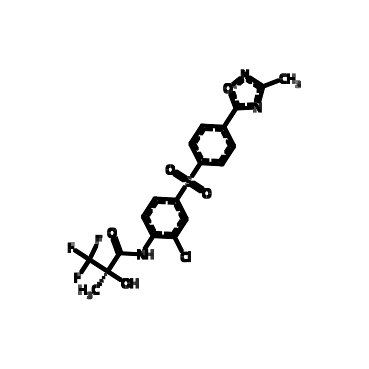 Cc1noc(-c2ccc(S(=O)(=O)c3ccc(NC(=O)[C@@](C)(O)C(F)(F)F)c(Cl)c3)cc2)n1